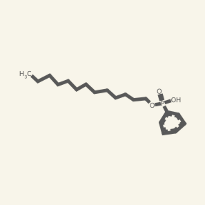 CCCCCCCCCCCCCOP(=O)(O)c1ccccc1